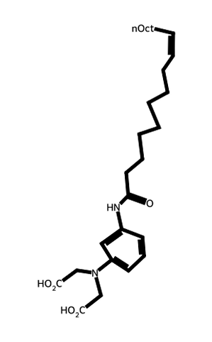 CCCCCCCC/C=C\CCCCCCCC(=O)Nc1cccc(N(CC(=O)O)CC(=O)O)c1